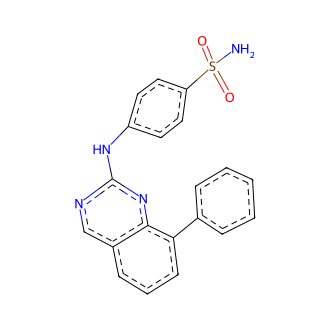 NS(=O)(=O)c1ccc(Nc2ncc3cccc(-c4ccccc4)c3n2)cc1